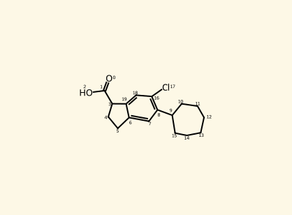 O=C(O)C1CCc2cc(C3CCCCCC3)c(Cl)cc21